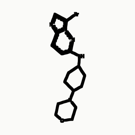 Brc1cnc2ccc(NC3CCC(N4CCOCC4)CC3)nn12